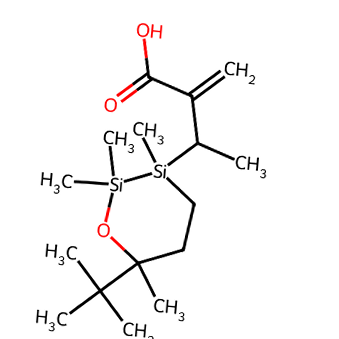 C=C(C(=O)O)C(C)[Si]1(C)CCC(C)(C(C)(C)C)O[Si]1(C)C